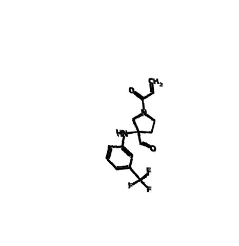 C=CC(=O)N1CCC(C=O)(Nc2cccc(C(F)(F)F)c2)C1